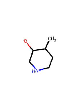 CC1CCNCC1[O]